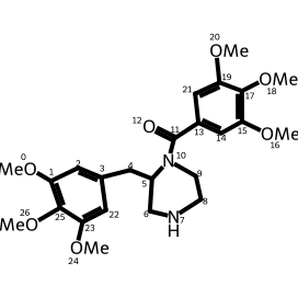 COc1cc(CC2CNCCN2C(=O)c2cc(OC)c(OC)c(OC)c2)cc(OC)c1OC